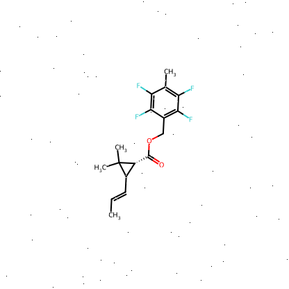 CC=CC1[C@@H](C(=O)OCc2c(F)c(F)c(C)c(F)c2F)C1(C)C